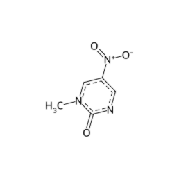 Cn1cc([N+](=O)[O-])cnc1=O